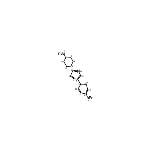 CCCC[C@H]1CC[C@H](c2ccc(-c3ccc(CCC)cc3)cn2)CC1